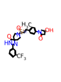 Cc1cc(N2C[C@H](O)CC2=O)ccc1/C=C/[S@+]([O-])N1CCC2(CC1)N=C(c1cccc(C(F)(F)F)c1)NC2=O